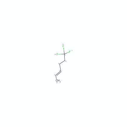 [CH2]/C=C/CCC(F)(F)F